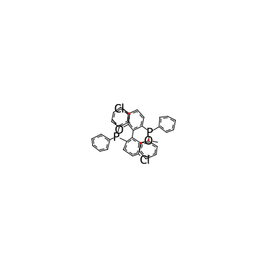 COc1c(Cl)ccc(P(c2ccccc2)c2ccccc2)c1-c1c(P(c2ccccc2)c2ccccc2)ccc(Cl)c1OC